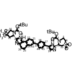 CC(C)(C)OC(=O)N1CCS(=O)(=O)C[C@H]1c1ncc(-c2ccc(-c3ccc4c(ccc5nc([C@@H]6C[Si](C)(C)CN6C(=O)OC(C)(C)C)[nH]c54)c3)cc2)[nH]1